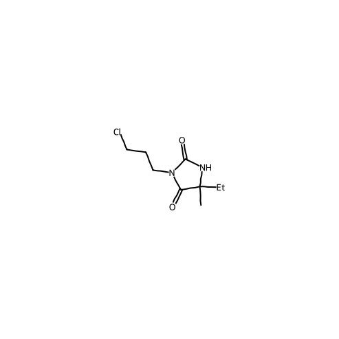 CCC1(C)NC(=O)N(CCCCl)C1=O